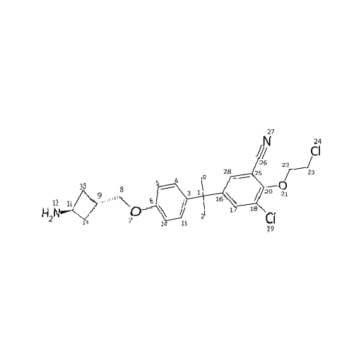 CC(C)(c1ccc(OC[C@H]2C[C@H](N)C2)cc1)c1cc(Cl)c(OCCCl)c(C#N)c1